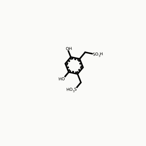 O=S(=O)(O)Cc1cc(CS(=O)(=O)O)c(O)cc1O